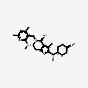 COc1nc(C)cc(C)c1CN1CCc2sc([C@H](C)C3CCC(=O)CC3)c(C)c2C1=O